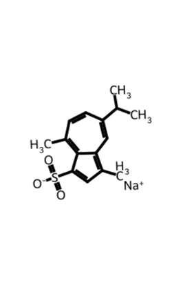 Cc1cc(S(=O)(=O)[O-])c2c(C)ccc(C(C)C)cc1-2.[Na+]